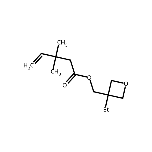 C=CC(C)(C)CC(=O)OCC1(CC)COC1